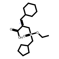 CCOP(=O)(C/C(=C\C1CCCCC1)C(=O)O)CC1CCCC1